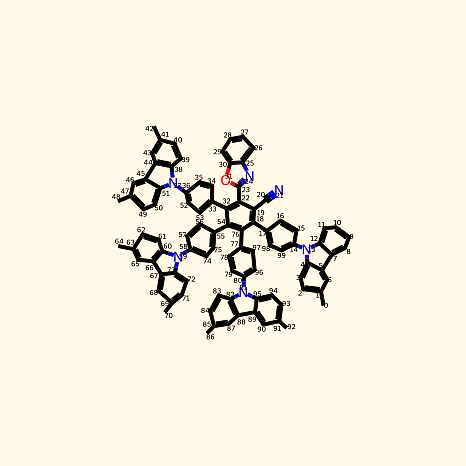 Cc1ccc2c(c1)c1ccccc1n2-c1ccc(-c2c(C#N)c(-c3nc4ccccc4o3)c(-c3ccc(-n4c5ccc(C)cc5c5cc(C)ccc54)cc3)c(-c3ccc(-n4c5ccc(C)cc5c5cc(C)ccc54)cc3)c2-c2ccc(-n3c4ccc(C)cc4c4cc(C)ccc43)cc2)cc1